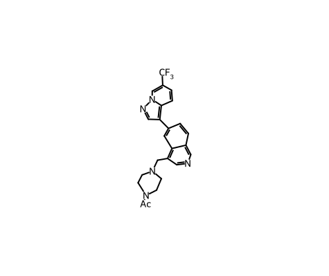 CC(=O)N1CCN(Cc2cncc3ccc(-c4cnn5cc(C(F)(F)F)ccc45)cc23)CC1